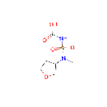 CN(C1CCOC1)S(=O)(=O)NC(=O)O